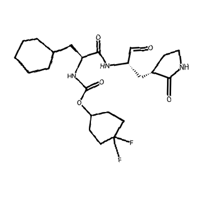 O=C[C@H](C[C@@H]1CCNC1=O)NC(=O)[C@H](CC1CCCCC1)NC(=O)OC1CCC(F)(F)CC1